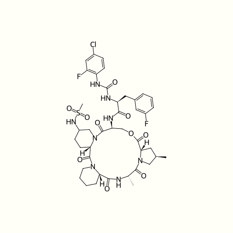 C[C@@H]1C[C@H]2C(=O)OC[C@H](NC(=O)[C@H](Cc3cccc(F)c3)NC(=O)Nc3ccc(Cl)cc3F)C(=O)N3CC(NS(C)(=O)=O)CC[C@H]3C(=O)N3CCCC[C@H]3C(=O)N[C@@H](C)C(=O)N2C1